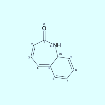 O=C1C=CC=C2C=CC=CC2N1